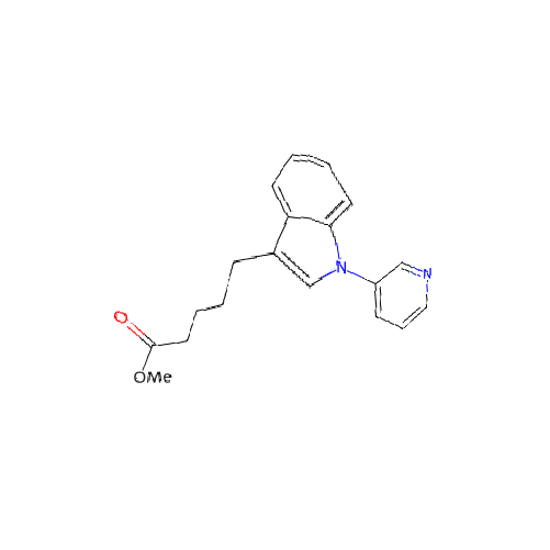 COC(=O)CCCCc1cn(-c2cccnc2)c2ccccc12